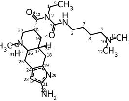 CCN(C(=O)NCCCCN(C)C)C(=O)[C@@H]1C[C@@H]2Cc3nc(N)sc3C[C@H]2N(C)C1